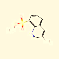 COS(=O)(=O)c1cccc2cc(C)cnc12